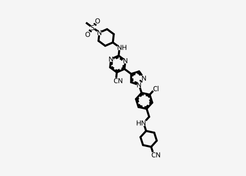 CS(=O)(=O)N1CCC(Nc2ncc(C#N)c(-c3cnn(-c4ccc(CNC5CCC(C#N)CC5)cc4Cl)c3)n2)CC1